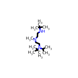 CC(C)N(CCN(C)CCNC(C)(C)C)C(C)(C)C